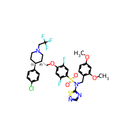 COc1ccc(CN(c2ncns2)S(=O)(=O)c2cc(F)c(OC[C@H]3CN(CC(F)(F)F)CC[C@@H]3c3ccc(Cl)cc3)cc2F)c(OC)c1